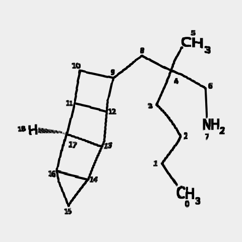 CCCCC(C)(CN)CC1CC2C1C1C3CC3[C@@H]21